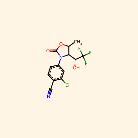 CC1OC(=O)N(c2ccc(C#N)c(Cl)c2)C1[C@@H](O)C(F)(F)F